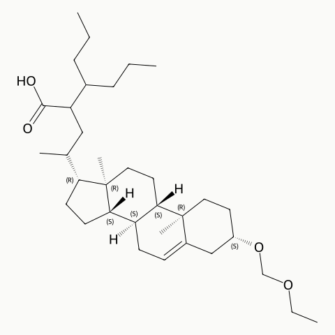 CCCC(CCC)C(CC(C)[C@H]1CC[C@H]2[C@@H]3CC=C4C[C@@H](OCOCC)CC[C@]4(C)[C@H]3CC[C@]12C)C(=O)O